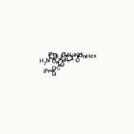 CCCCCCOC(=O)Nc1ccn([C@@H]2O[C@H](COC(=O)C(C)C)[C@@H](OC(=O)C(N)C(C)C)C2(F)F)c(=O)n1